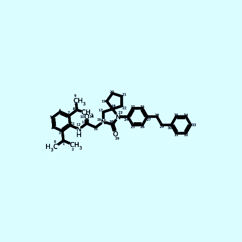 CC(C)c1cccc(C(C)C)c1NC(=O)CN1CC2(CCCC2)N(c2ccc(CCc3ccccc3)cc2)C1=O